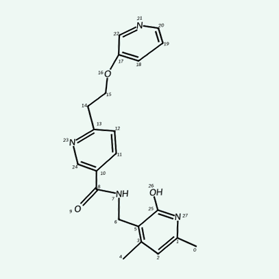 Cc1cc(C)c(CNC(=O)c2ccc(CCOc3cccnc3)nc2)c(O)n1